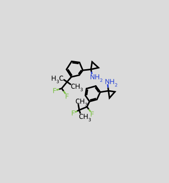 CC(C)(F)C(F)c1cccc(C2(N)CC2)c1.CC(C)(c1cccc(C2(N)CC2)c1)C(F)F